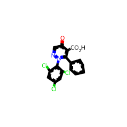 O=C(O)c1c(-c2ccccc2)n(-c2c(Cl)cc(Cl)cc2Cl)ncc1=O